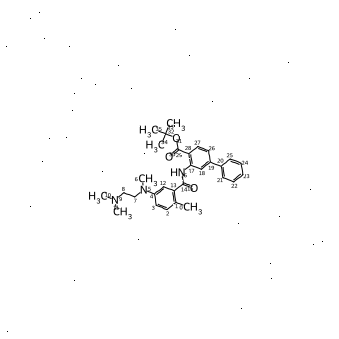 Cc1ccc(N(C)CCN(C)C)cc1C(=O)Nc1cc(-c2ccccc2)ccc1C(=O)OC(C)(C)C